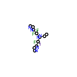 Fc1cc(-c2nc(-c3cc(F)c(-c4cnc5c(ccc6cccnc65)c4)c(I)c3)cc(-c3ccc4ccccc4c3)n2)cc(F)c1-c1cnc2c(ccc3cccnc32)c1